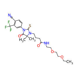 CCOCCOCCNC(=O)CCCN1C(=S)N(c2ccc(C#N)c(C(F)(F)F)c2)C(=O)C1(C)C